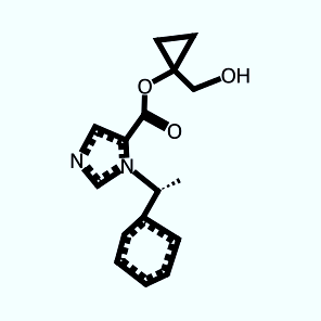 C[C@H](c1ccccc1)n1cncc1C(=O)OC1(CO)CC1